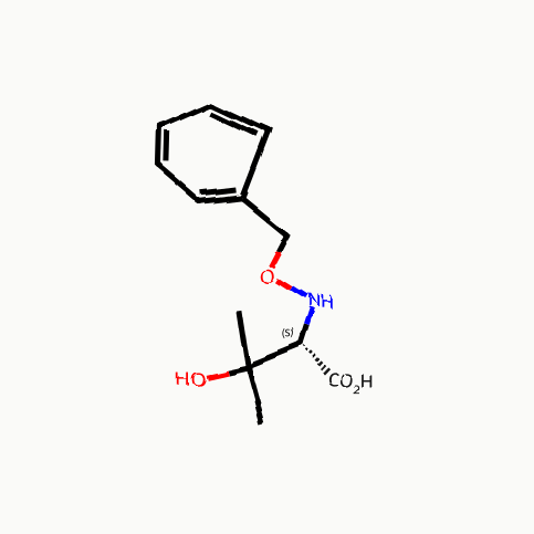 CC(C)(O)[C@H](NOCc1ccccc1)C(=O)O